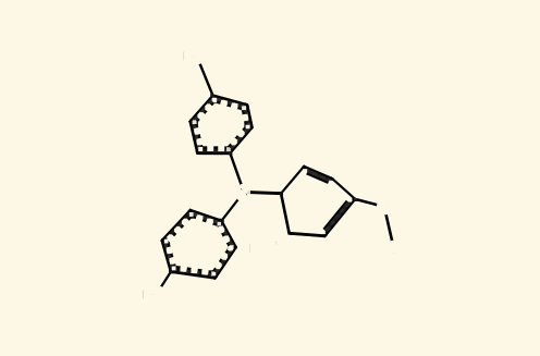 CCOC1=C[C@H](C)C(N(c2ccc(C)cc2)c2ccc(C)cc2)C=C1